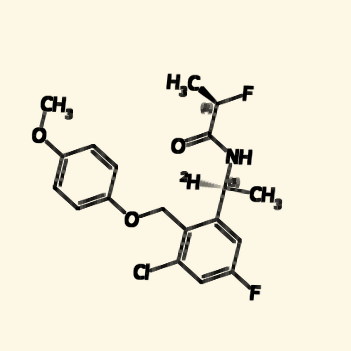 [2H][C@@](C)(NC(=O)[C@@H](C)F)c1cc(F)cc(Cl)c1COc1ccc(OC)cc1